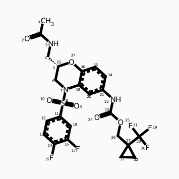 CC(=O)NC[C@H]1CN(S(=O)(=O)c2ccc(F)c(F)c2)c2cc(NC(=O)OCC3(C(F)(F)F)CC3)ccc2O1